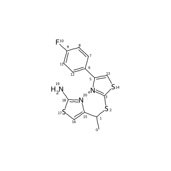 CC(Sc1nc(-c2ccc(F)cc2)cs1)c1csc(N)n1